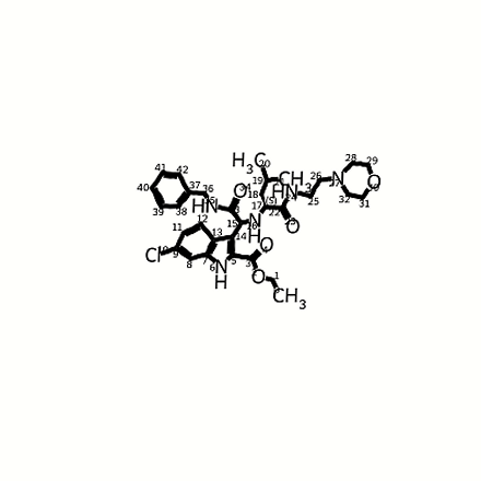 CCOC(=O)c1[nH]c2cc(Cl)ccc2c1C(N[C@@H](CC(C)C)C(=O)NCCN1CCOCC1)C(=O)NCc1ccccc1